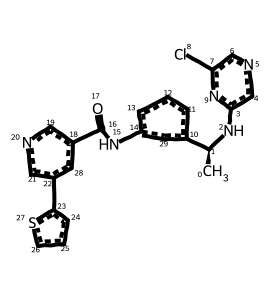 C[C@H](Nc1cncc(Cl)n1)c1cccc(NC(=O)c2cncc(-c3cccs3)c2)c1